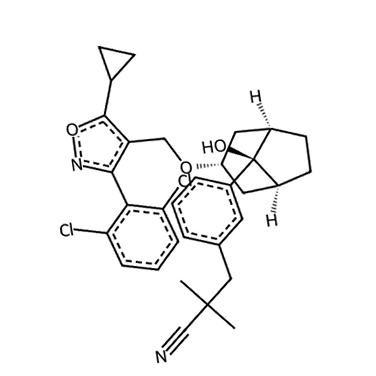 CC(C)(C#N)Cc1cccc([C@]2(O)[C@@H]3CC[C@H]2C[C@H](OCc2c(-c4c(Cl)cccc4Cl)noc2C2CC2)C3)c1